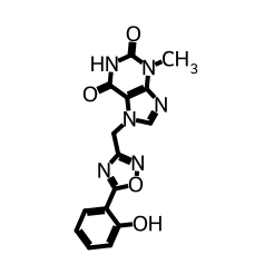 Cn1c(=O)[nH]c(=O)c2c1ncn2Cc1noc(-c2ccccc2O)n1